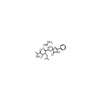 CC(C)CC(C(=O)N1C[C@@]2(C[C@H]1C(N)=O)N=C(c1ccccc1)NC2=O)N(C)C(=O)C(C)N